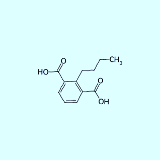 CCCCc1c(C(=O)O)cccc1C(=O)O